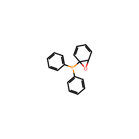 C1=CC2OC2(P(c2ccccc2)c2ccccc2)C=C1